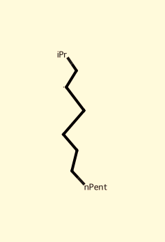 [CH2]CCCCCCCC[CH]CC(C)C